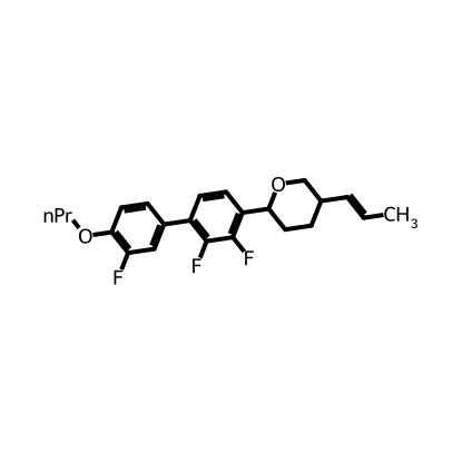 C/C=C/C1CCC(c2ccc(-c3ccc(OCCC)c(F)c3)c(F)c2F)OC1